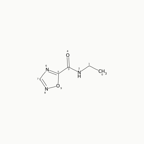 CCNC(=O)c1n[c]no1